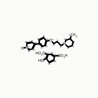 CC1CCCN(CCCOc2ccc(-c3cc[n+]([O-])cc3)cc2)C1.O=C(O)c1cc(S(=O)(=O)O)ccc1O